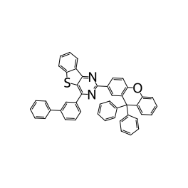 c1ccc(-c2cccc(-c3nc(-c4ccc5c(c4)C(c4ccccc4)(c4ccccc4)c4ccccc4O5)nc4c3sc3ccccc34)c2)cc1